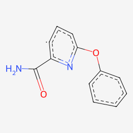 NC(=O)c1[c]ccc(Oc2ccccc2)n1